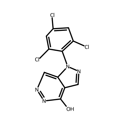 Oc1nncc2c1cnn2-c1c(Cl)cc(Cl)cc1Cl